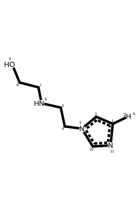 [2H]c1cn(CCNCCO)cn1